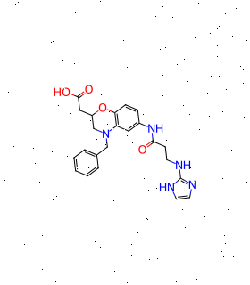 O=C(O)CC1CN(Cc2ccccc2)c2cc(NC(=O)CCNc3ncc[nH]3)ccc2O1